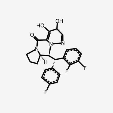 O=C1C2=C(O)C(O)C=NN2[C@@H]([C@@H](c2ccc(F)cc2)c2cccc(F)c2F)[C@H]2CCCN12